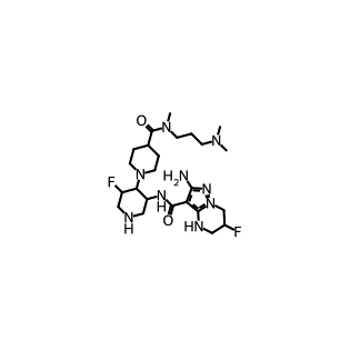 CN(C)CCCN(C)C(=O)C1CCN(C2C(F)CNCC2NC(=O)c2c(N)nn3c2NCC(F)C3)CC1